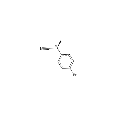 C[C@H](C#N)c1ccc(Br)cc1